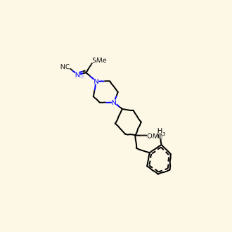 COC1(Cc2ccccc2C)CCC(N2CCN(/C(=N/C#N)SC)CC2)CC1